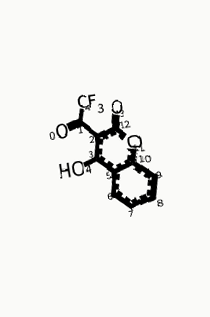 O=C(c1c(O)c2ccccc2oc1=O)C(F)(F)F